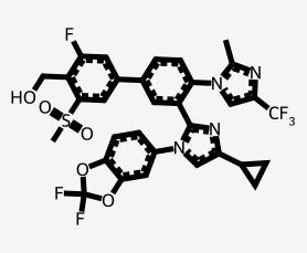 Cc1nc(C(F)(F)F)cn1-c1ccc(-c2cc(F)c(CO)c(S(C)(=O)=O)c2)cc1-c1nc(C2CC2)cn1-c1ccc2c(c1)OC(F)(F)O2